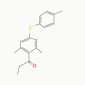 CCC(=O)c1c(C)cc(Sc2ccc(C)cc2)cc1C